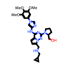 COc1cc(-n2cnc(Nc3nc(N4CCCC4CO)nn4c(CNCC5CC5)ccc34)c2)cc(OC)c1OC